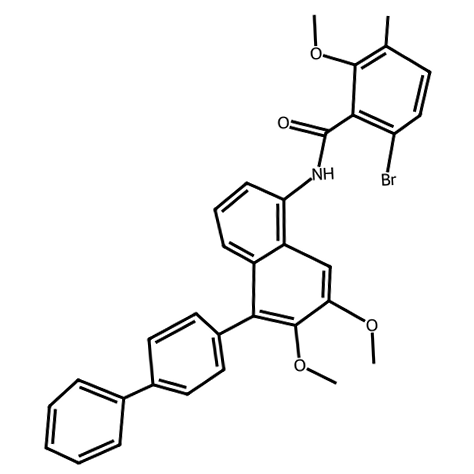 COc1cc2c(NC(=O)c3c(Br)ccc(C)c3OC)cccc2c(-c2ccc(-c3ccccc3)cc2)c1OC